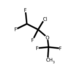 CC(F)(F)OC(F)(Cl)C(F)F